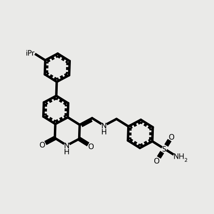 CC(C)c1cccc(-c2ccc3c(c2)C(=CNCc2ccc(S(N)(=O)=O)cc2)C(=O)NC3=O)c1